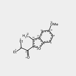 CCC(CC)C(=O)c1oc2ccc(OC)cc2c1C